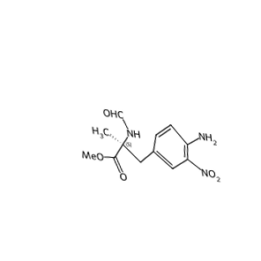 COC(=O)[C@](C)(Cc1ccc(N)c([N+](=O)[O-])c1)NC=O